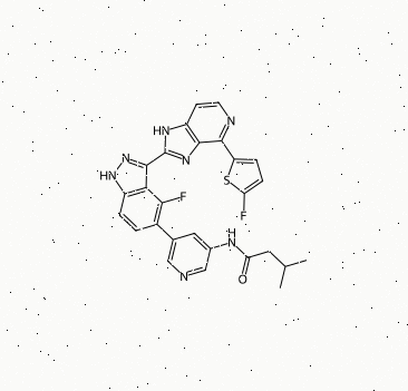 CC(C)CC(=O)Nc1cncc(-c2ccc3[nH]nc(-c4nc5c(-c6ccc(F)s6)nccc5[nH]4)c3c2F)c1